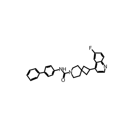 O=C(Nc1ccc(-c2ccccc2)cc1)N1CCC2(CC1)CC(c1ccnc3ccc(F)cc13)C2